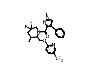 CC1CC(F)(F)CN(C(=O)c2nn(C)cc2-c2ccccc2)C1COc1ccc(C(F)(F)F)cn1